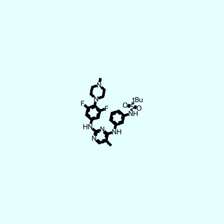 Cc1cnc(Nc2cc(F)c(N3CCN(C)CC3)c(F)c2)nc1Nc1cccc(NS(=O)(=O)C(C)(C)C)c1